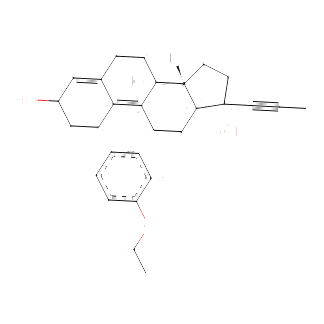 CC#C[C@]1(O)CC[C@H]2[C@@H]3CCC4=CC(O)CCC4=C3[C@@H](c3cccc(OCC)c3)C[C@@]21C